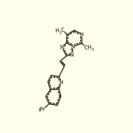 Cc1cnc(C)n2nc(/C=C/c3ccc4cc(C(C)C)ccc4n3)nc12